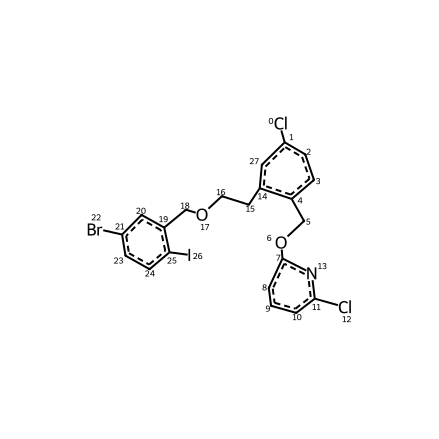 Clc1ccc(COc2cccc(Cl)n2)c(CCOCc2cc(Br)ccc2I)c1